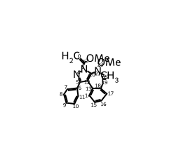 C=C(OC)n1nc(-c2ccccc2)c(-c2ccccc2F)c1N(C)OC